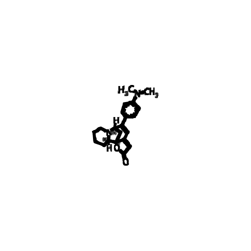 CN(C)c1ccc(C2=CC3=CC(=O)O[C@@]34C[C@@H]2N2CCCC[C@@H]24)cc1